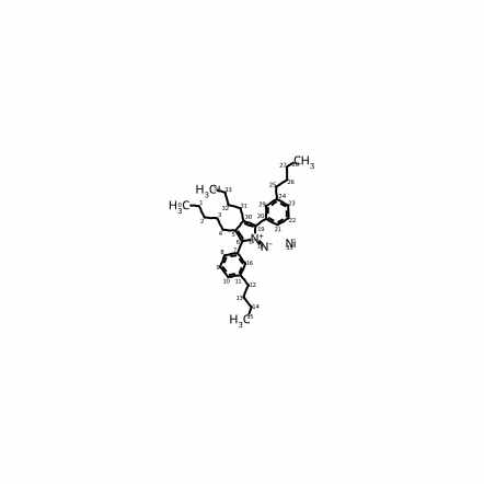 CCCCCC1=C(c2cccc(CCCC)c2)[N+](=[N-])C(c2cccc(CCCC)c2)=C1CCCC.[Ni]